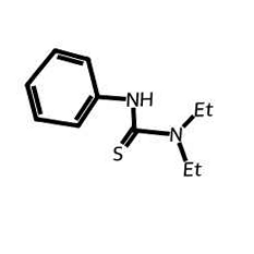 CCN(CC)C(=S)Nc1ccccc1